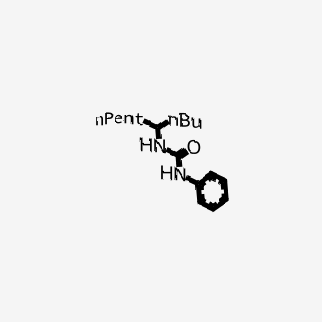 CCCCCC(CCCC)NC(=O)Nc1ccccc1